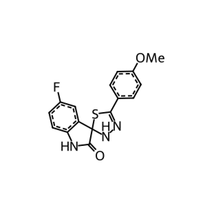 COc1ccc(C2=NNC3(S2)C(=O)Nc2ccc(F)cc23)cc1